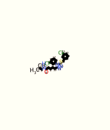 CC(C)CNC(=O)CCCCc1nnc(SCc2cccc(Cl)c2)n1-c1cccc(Cl)c1